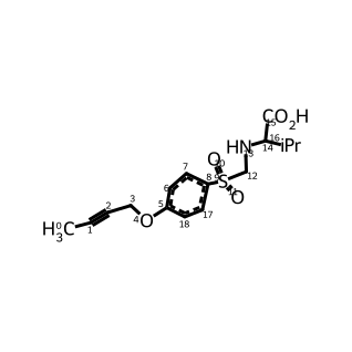 CC#CCOc1ccc(S(=O)(=O)CNC(C(=O)O)C(C)C)cc1